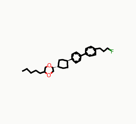 CCCCCC1COC([C@H]2CC[C@H](c3ccc(-c4ccc(CCCF)cc4)cc3)CC2)CO1